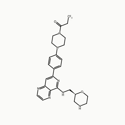 O=C(CC(F)(F)F)N1CCN(c2ccc(-c3cc4nccnc4c(NC[C@@H]4CNCCO4)n3)cc2)CC1